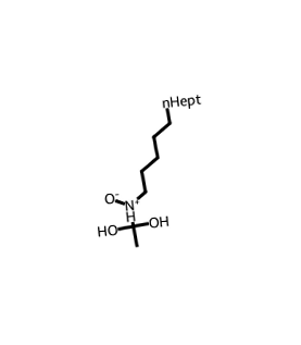 CCCCCCCCCCCC[NH+]([O-])C(C)(O)O